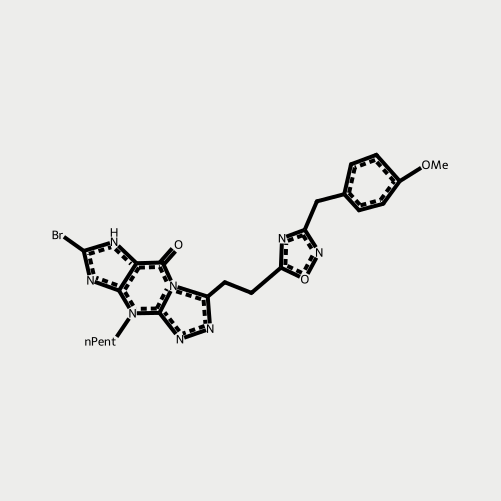 CCCCCn1c2nc(Br)[nH]c2c(=O)n2c(CCc3nc(Cc4ccc(OC)cc4)no3)nnc12